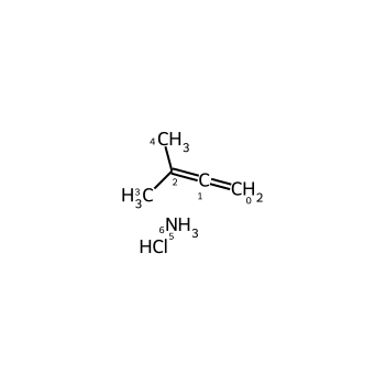 C=C=C(C)C.Cl.N